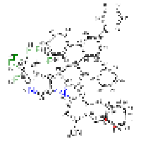 N#Cc1cc2c(c3c1C1c4ccccc4C3c3ccccc31)c1cc(-c3c(-c4ccccc4)cc(-c4ccccc4)cc3-c3ccccc3)cc3c4c5c(ncc4n2c13)C(F)(F)C(F)(F)C5(F)F